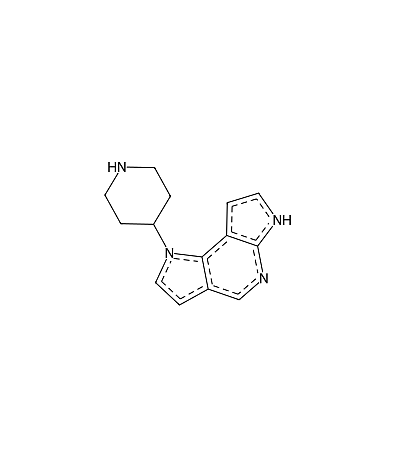 c1cc2c(ncc3ccn(C4CCNCC4)c32)[nH]1